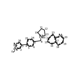 Cn1cc(-c2ccc(CN3CCC[C@@H]3c3ccc4cccnc4c3)cc2)cn1